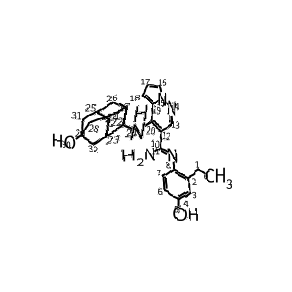 CCc1cc(O)ccc1/N=C(\N)c1cnn2cccc2c1NC1C2CC3CC1CC(O)(C3)C2